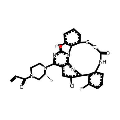 C=CC(=O)N1CCN(c2nc(=O)n3c4nc(c(Cl)cc24)-c2c(F)cccc2NC(=O)CSc2cccc(C(C)C)c2-3)[C@H](C)C1